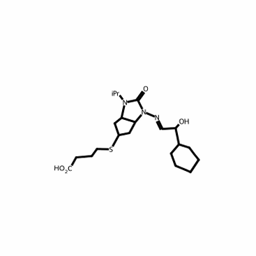 CC(C)N1C(=O)N(N=CC(O)C2CCCCC2)C2CC(SCCCC(=O)O)CC21